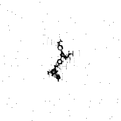 Cc1ncc(-n2c(=O)c(C(=O)Nc3ccc(-c4cc(C5CCN(C(O)C(C)C)CC5)[nH]c4/C(N)=N\C=N)cc3)cn(C(C)C)c2=O)s1